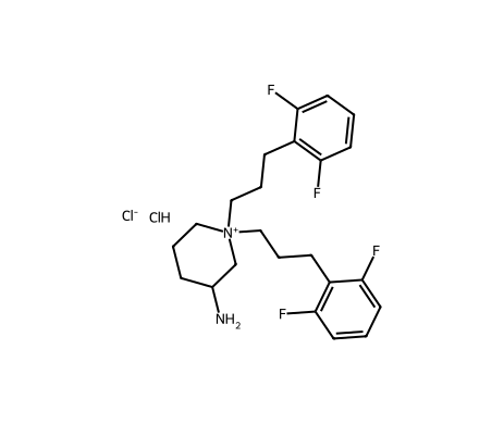 Cl.NC1CCC[N+](CCCc2c(F)cccc2F)(CCCc2c(F)cccc2F)C1.[Cl-]